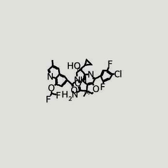 Cc1cnc2c(OC(F)F)cc(C(=O)NC[C@](O)(c3cc4c(c(-c5cc(F)c(Cl)cc5F)n3)OC[C@]4(C)C(N)=O)C3CC3)cc2c1